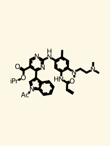 C=CC(=O)Nc1cc(Nc2ncc(C(=O)OC(C)C)c(-c3cn(C(C)=O)c4ccccc34)n2)c(C)cc1N(C)CCN(C)C